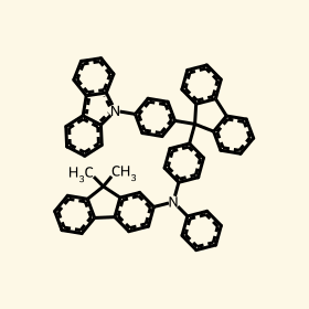 CC1(C)c2ccccc2-c2ccc(N(c3ccccc3)c3ccc(C4(c5ccc(-n6c7ccccc7c7ccccc76)cc5)c5ccccc5-c5ccccc54)cc3)cc21